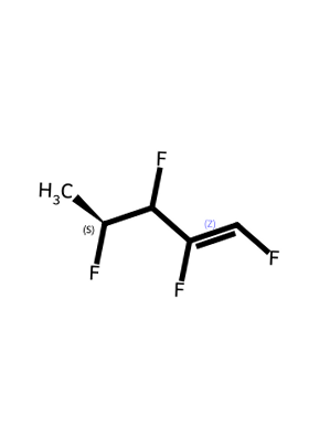 C[C@H](F)C(F)/C(F)=C/F